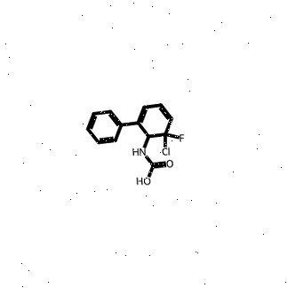 O=C(O)NC1C(c2ccccc2)=CC=CC1(F)Cl